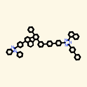 C1=c2c(-c3ccc(-c4nc5ccccc5n4-c4ccccc4)cc3)ccc3c2=C(CC1)c1c(-c2cccc(-c4ccc(-c5ccc(-c6nc(-c7ccc(-c8ccccc8)cc7)nc(-c7cccc8ccccc78)n6)cc5)cc4)c2)ccc(-c2ccccc2)c1-3